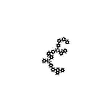 c1ccc(-c2cccc(-c3cccc(-c4ccc(-c5nc(-c6ccc(-c7cccc8oc9c(-c%10nc(-c%11ccccc%11)nc(-c%11ccc(-c%12cccc(-c%13ccc(-c%14ccccc%14)c%14ccccc%13%14)c%12)cc%11)n%10)cccc9c78)cc6)nc(-c6cccc7c6oc6ccccc67)n5)cc4)c3)c2)cc1